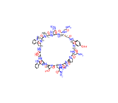 CCCC[C@H]1C(=O)N(C)[C@@H](CCCC)C(=O)NC(CCN)C(=O)N[C@H](C(=O)NCC(N)=O)CSCC(=O)N[C@@H](Cc2ccc(O)cc2)C(=O)N(C)[C@@H](C)C(=O)N[C@@H](CC(N)=O)C(=O)N2CCC[C@H]2C(=O)N[C@@H](CN)C(=O)N[C@@H](CCC(N)=O)C(=O)N2C[C@H](O)C[C@H]2C(=O)N[C@@H](Cc2c[nH]c3ccccc23)C(=O)N[C@@H](CO)C(=O)N[C@@H](Cc2c[nH]c3ccccc23)C(=O)N1C